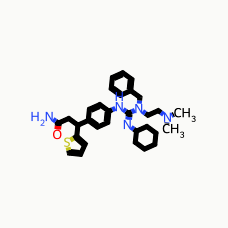 CN(C)CCN(Cc1ccccc1)/C(=N\C1CCCCC1)Nc1ccc(C(CC(N)=O)c2cccs2)cc1